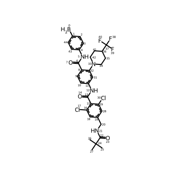 Bc1ccc(NC(=O)c2ccc(NC(=O)c3c(Cl)cc(CNC(=O)C(C)(C)C)cc3Cl)cc2N2CCC(C(F)(F)F)CC2)cc1